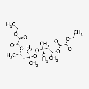 CCOC(=O)C(=O)OC(C)CC(C)(C)OOC(C)(C)CC(C)OC(=O)C(=O)OCC